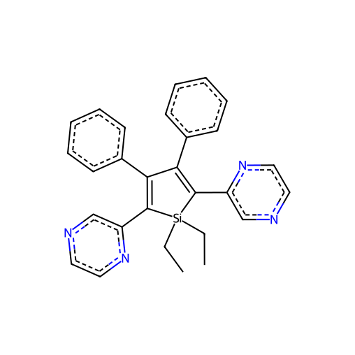 CC[Si]1(CC)C(c2cnccn2)=C(c2ccccc2)C(c2ccccc2)=C1c1cnccn1